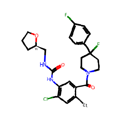 CCc1cc(Cl)c(NC(=O)NC[C@H]2CCCO2)cc1C(=O)N1CCC(F)(c2ccc(F)cc2)CC1